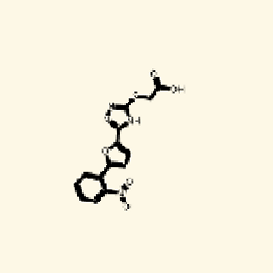 O=C(O)CSc1nnc(-c2ccc(-c3ccccc3[N+](=O)[O-])o2)[nH]1